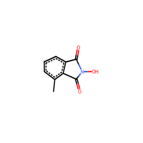 Cc1cccc2c1C(=O)N(O)C2=O